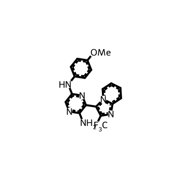 COc1ccc(Nc2cnc(N)c(-c3c(C(F)(F)F)nc4ccccn34)n2)cc1